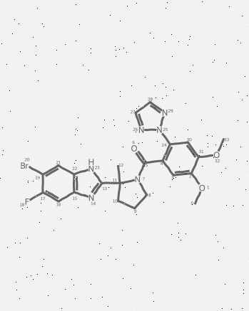 COc1cc(C(=O)N2CCCC2(C)c2nc3cc(F)c(Br)cc3[nH]2)c(-n2nccn2)cc1OC